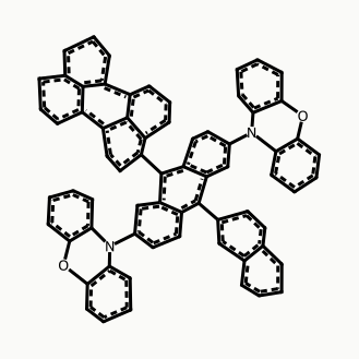 c1ccc2c(c1)Oc1ccccc1N2c1ccc2c(-c3ccc4c5cccc6cccc(c7cccc3c74)c65)c3cc(N4c5ccccc5Oc5ccccc54)ccc3c(-c3ccc4ccccc4c3)c2c1